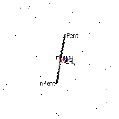 CCCCCC=CCC=CCCCCCCCCC(CCCCCCCCC=CC/C=C\CCCCC)OC(CCC)N(C)C